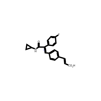 O=C(O)C=Cc1ccc(/C=C(/C(=O)NC2CC2)c2ccc(F)cc2)cc1